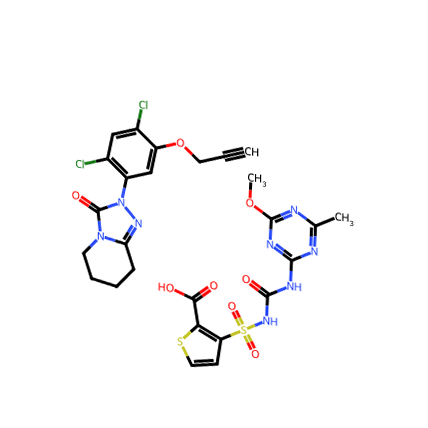 C#CCOc1cc(-n2nc3n(c2=O)CCCC3)c(Cl)cc1Cl.COc1nc(C)nc(NC(=O)NS(=O)(=O)c2ccsc2C(=O)O)n1